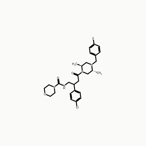 C[C@@H]1CN(C(=O)CC(CNC(=O)N2CCOCC2)c2ccc(Cl)cc2)[C@@H](C)CN1Cc1ccc(F)cc1